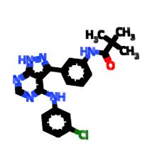 CC(C)(C)C(=O)Nc1cccc(-c2n[nH]c3ncnc(Nc4cccc(Cl)c4)c23)c1